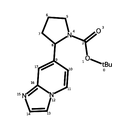 CC(C)(C)OC(=O)N1CCCC1c1ccn2ccnc2c1